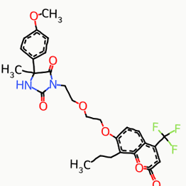 CCCc1c(OCCOCCN2C(=O)NC(C)(c3ccc(OC)cc3)C2=O)ccc2c(C(F)(F)F)cc(=O)oc12